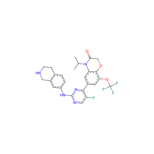 CC(C)N1C(=O)COc2c(OC(F)(F)F)cc(-c3nc(Nc4ccc5c(c4)CNCC5)ncc3F)cc21